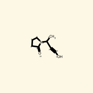 CC(C#CO)N1CCCC1=O